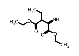 CCOC(=O)C(=N)C(CC)C(=O)OCC